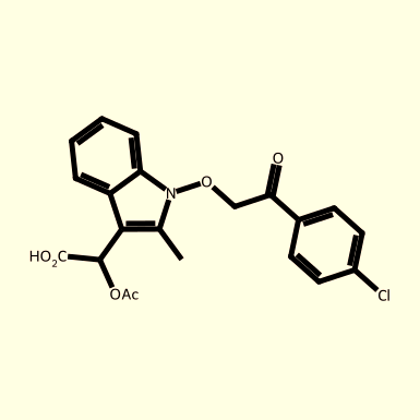 CC(=O)OC(C(=O)O)c1c(C)n(OCC(=O)c2ccc(Cl)cc2)c2ccccc12